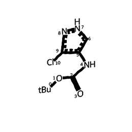 CC(C)(C)OC(=O)Nc1c[nH]nc1Cl